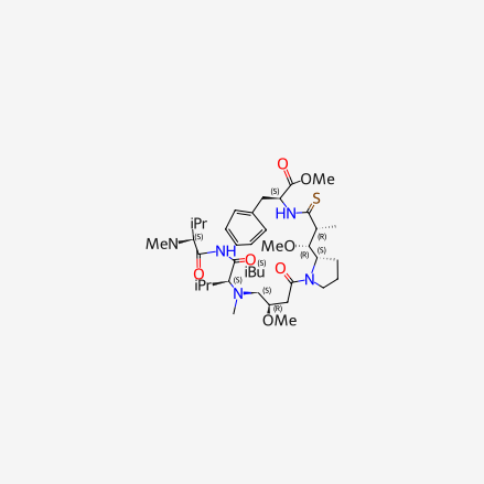 CC[C@H](C)[C@@H]([C@@H](CC(=O)N1CCC[C@H]1[C@H](OC)[C@@H](C)C(=S)N[C@@H](Cc1ccccc1)C(=O)OC)OC)N(C)[C@H](C(=O)NC(=O)[C@@H](NC)C(C)C)C(C)C